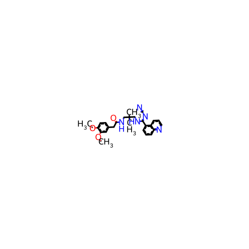 COc1ccc(CC(=O)NCC(C)(C)CNC(=NC#N)c2cccc3ncccc23)cc1OC